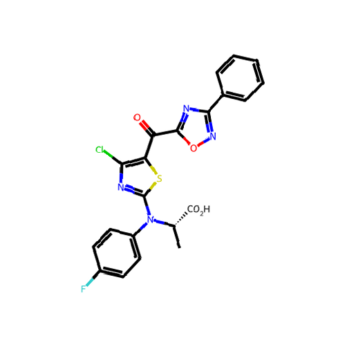 C[C@@H](C(=O)O)N(c1ccc(F)cc1)c1nc(Cl)c(C(=O)c2nc(-c3ccccc3)no2)s1